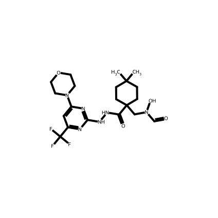 CC1(C)CCC(CN(O)C=O)(C(=O)NNc2nc(N3CCOCC3)cc(C(F)(F)F)n2)CC1